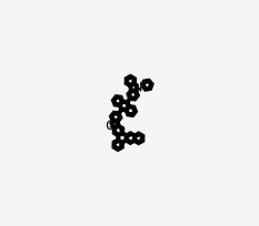 c1ccc(-n2c3ccccc3c3cc(-c4c5ccccc5c(-c5ccc6oc7cc8c9ccccc9c9cc%10ccccc%10cc9c8cc7c6c5)c5ccccc45)ccc32)cc1